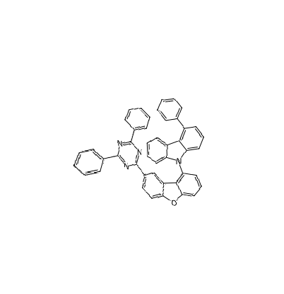 c1ccc(-c2nc(-c3ccccc3)nc(-c3ccc4oc5cccc(-n6c7ccccc7c7c(-c8ccccc8)cccc76)c5c4c3)n2)cc1